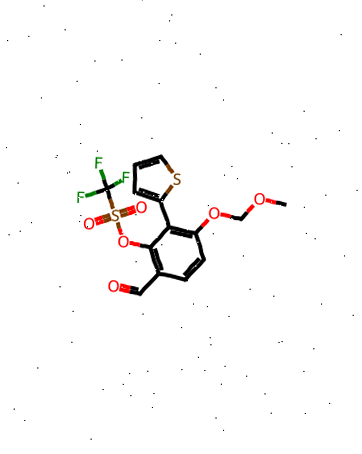 COCOc1ccc(C=O)c(OS(=O)(=O)C(F)(F)F)c1-c1cccs1